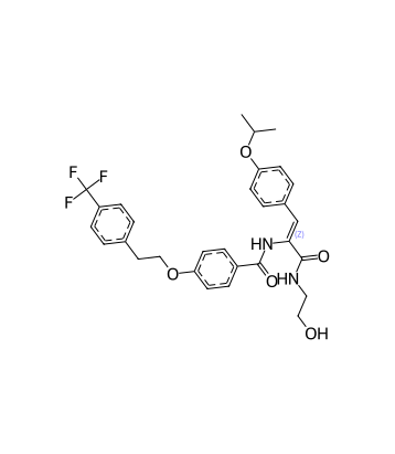 CC(C)Oc1ccc(/C=C(\NC(=O)c2ccc(OCCc3ccc(C(F)(F)F)cc3)cc2)C(=O)NCCO)cc1